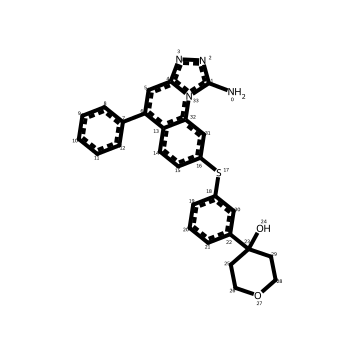 Nc1nnc2cc(-c3ccccc3)c3ccc(Sc4cccc(C5(O)CCOCC5)c4)cc3n12